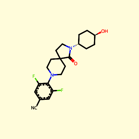 N#Cc1cc(F)c(N2CCC3(CC2)CCN([C@H]2CC[C@H](O)CC2)C3=O)c(F)c1